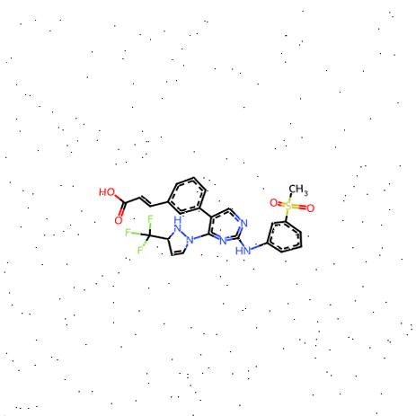 CS(=O)(=O)c1cccc(Nc2ncc(-c3cccc(/C=C/C(=O)O)c3)c(N3C=CC(C(F)(F)F)N3)n2)c1